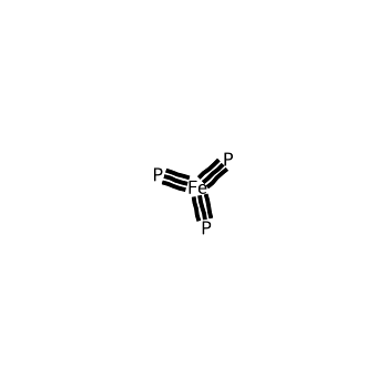 [P]#[Fe](#[P])#[P]